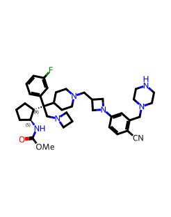 COC(=O)N[C@H]1CCC[C@@H]1C(CN1CCC1)(c1cccc(F)c1)C1CCN(CC2CN(c3ccc(C#N)c(CN4CCNCC4)c3)C2)CC1